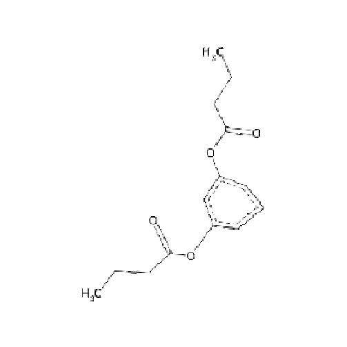 CCCC(=O)Oc1cccc(OC(=O)CCC)c1